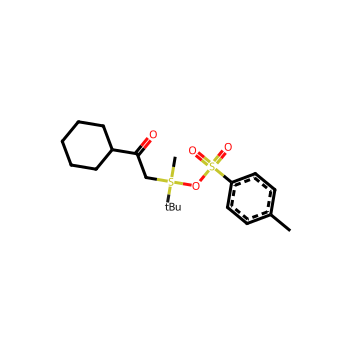 Cc1ccc(S(=O)(=O)OS(C)(CC(=O)C2CCCCC2)C(C)(C)C)cc1